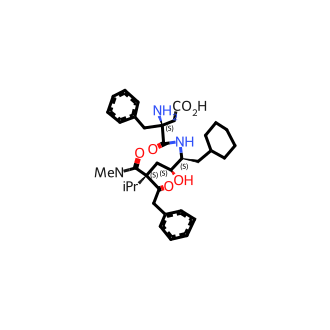 CNC(=O)[C@](C[C@H](O)[C@H](CC1CCCCC1)NC(=O)[C@@](N)(CC(=O)O)Cc1ccccc1)(C(=O)Cc1ccccc1)C(C)C